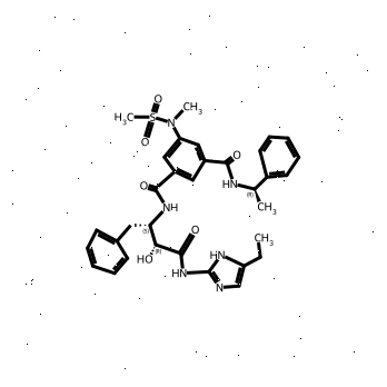 CCc1cnc(NC(=O)[C@H](O)[C@H](Cc2ccccc2)NC(=O)c2cc(C(=O)N[C@H](C)c3ccccc3)cc(N(C)S(C)(=O)=O)c2)[nH]1